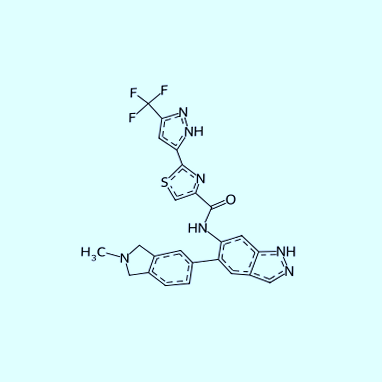 CN1Cc2ccc(-c3cc4cn[nH]c4cc3NC(=O)c3csc(-c4cc(C(F)(F)F)n[nH]4)n3)cc2C1